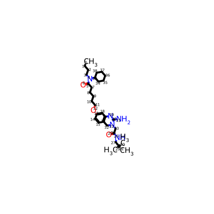 CCCCN(C(=O)CCCCCOc1ccc2c(c1)N=C(N)N(CC(=O)NCC(C)(C)C)C2)C1CCCCC1